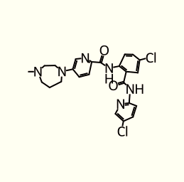 CN1CCCN(c2ccc(C(=O)Nc3ccc(Cl)cc3C(=O)Nc3ccc(Cl)cn3)nc2)CC1